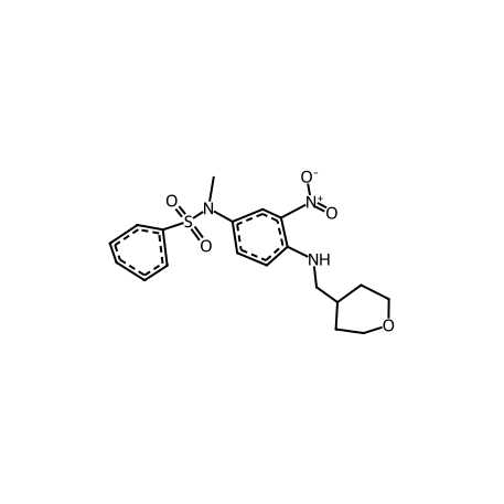 CN(c1ccc(NCC2CCOCC2)c([N+](=O)[O-])c1)S(=O)(=O)c1ccccc1